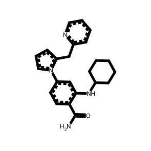 NC(=O)c1ccc(-n2cccc2Cc2ccccn2)cc1NC1CCCCC1